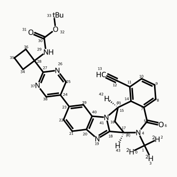 [2H]C([2H])([2H])N1C(=O)c2cccc(C#C)c2[C@H]2C[C@@H]1c1nc3ccc(-c4cnc(C5(NC(=O)OC(C)(C)C)CCC5)nc4)cc3n12